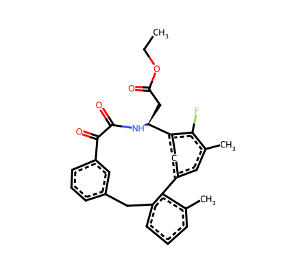 CCOC(=O)C[C@@H]1NC(=O)C(=O)c2cccc(c2)Cc2cccc(C)c2-c2cc(C)c(F)c1c2